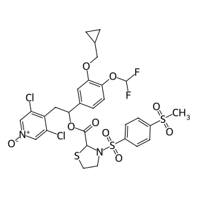 CS(=O)(=O)c1ccc(S(=O)(=O)N2CCSC2C(=O)OC(Cc2c(Cl)c[n+]([O-])cc2Cl)c2ccc(OC(F)F)c(OCC3CC3)c2)cc1